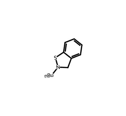 CCCCN1Cc2ccccc2S1